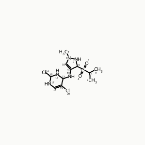 CC(C)S(=O)(=O)C1NN(C)C=C1NC1NC(Cl)NC=C1Cl